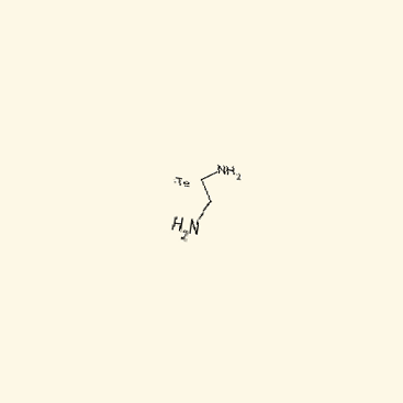 NCCN.[Te]